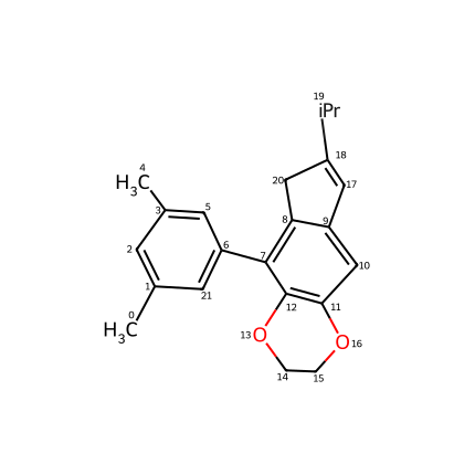 Cc1cc(C)cc(-c2c3c(cc4c2OCCO4)C=C(C(C)C)C3)c1